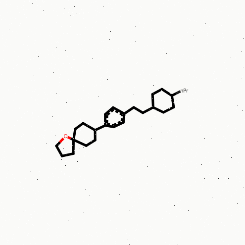 CCCC1CCC(CCc2ccc(C3CCC4(CCCO4)CC3)cc2)CC1